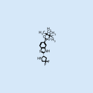 CC1(C)OB(c2ccc3nc([C@@H]4CC(F)(F)CN4)[nH]c3c2)OC1(C)C